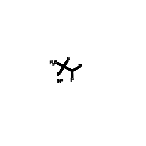 F[C](F)C(F)(F)C(F)(F)F.[H+]